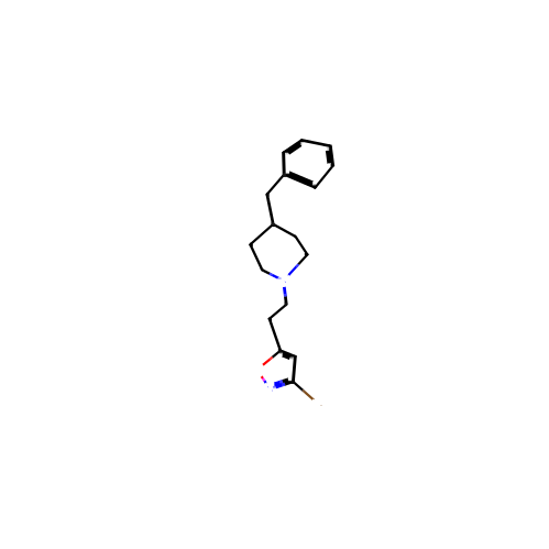 Brc1cc(CCN2CCC(Cc3ccccc3)CC2)on1.Cl